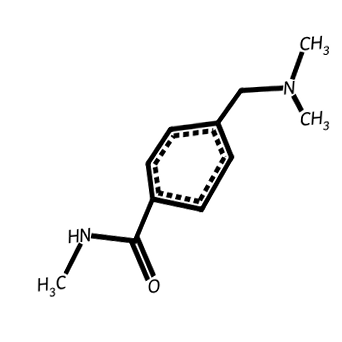 CNC(=O)c1ccc(CN(C)C)cc1